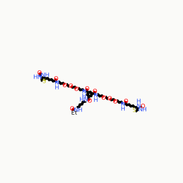 CCC(=O)NCCCCCCNC(=O)c1cc(C(=O)NCCCOCCOCCOCCCNC(=O)CCCCC2SCC3NC(=O)NC32)cc(C(=O)NCCCOCCOCCOCCCNC(=O)CCCCC2SCC3NC(=O)NC32)c1